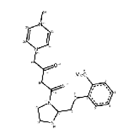 COc1ccccc1OCC1SCCN1C(=S)CC(=O)CN1C=CN(C)C=C1